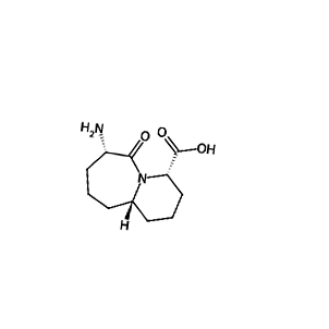 N[C@H]1CCC[C@H]2CCC[C@@H](C(=O)O)N2C1=O